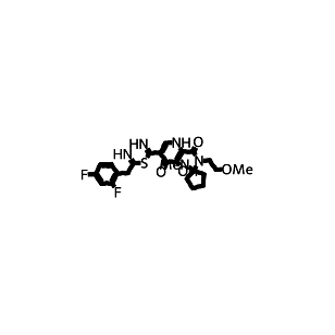 CNC1(N(CCOC)C(=O)c2[nH]cc(C(=N)SC(=N)Cc3ccc(F)cc3F)c(=O)c2O)CCCC1